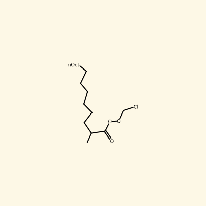 CCCCCCCCCCCCCCC(C)C(=O)OOCCl